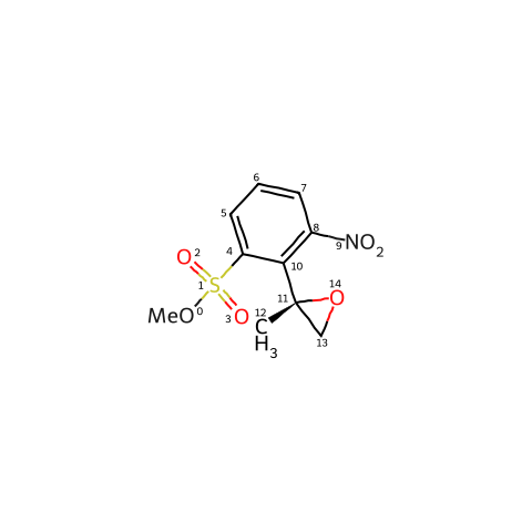 COS(=O)(=O)c1cccc([N+](=O)[O-])c1[C@@]1(C)CO1